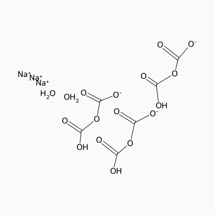 O.O.O=C([O-])OC(=O)O.O=C([O-])OC(=O)O.O=C([O-])OC(=O)O.[Na+].[Na+].[Na+]